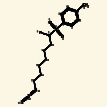 Cc1ccc(S(=O)(=O)N(F)CCCCCCN=[N+]=[N-])cc1